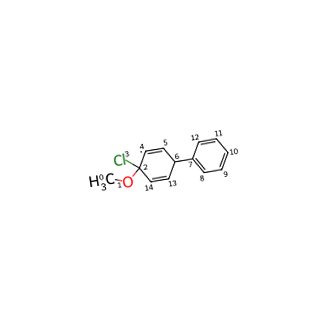 COC1(Cl)[C]=CC(c2ccccc2)C=C1